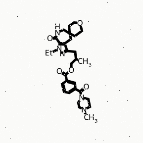 CCn1nc(CC(C)COC(=O)c2cccc(C(=O)N3CCN(C)CC3)c2)c2c1C(=O)NCC1(CCOCC1)C2